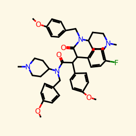 COc1ccc(CN(C(=O)C(c2ccc(F)cc2)C(C(=O)N(Cc2ccc(OC)cc2)C2CCN(C)CC2)c2ccc(OC)cc2)C2CCN(C)CC2)cc1